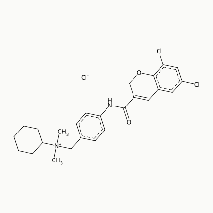 C[N+](C)(Cc1ccc(NC(=O)C2=Cc3cc(Cl)cc(Cl)c3OC2)cc1)C1CCCCC1.[Cl-]